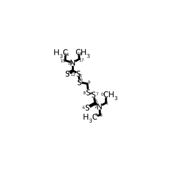 CCN(CC)C(=S)SSCSSC(=S)N(CC)CC